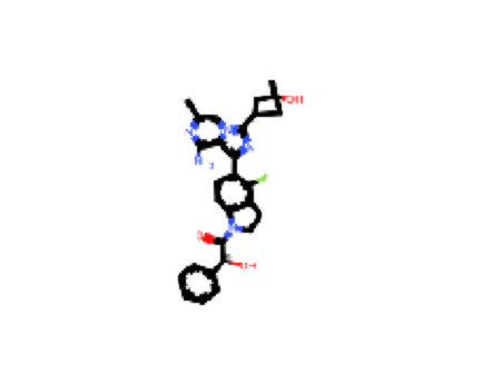 Cc1cn2c(C3CC(C)(O)C3)nc(-c3ccc4c(c3F)CCN4C(=O)[C@@H](O)c3ccccc3)c2c(N)n1